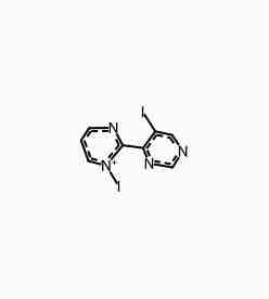 Ic1cncnc1-c1nccc[n+]1I